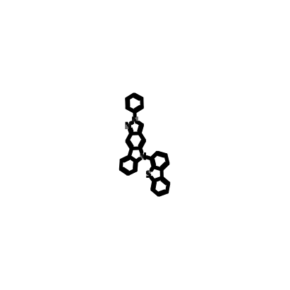 c1ccc(-n2cc3cc4c(cc3n2)c2ccccc2n4-c2cccc3c2sc2ccccc23)cc1